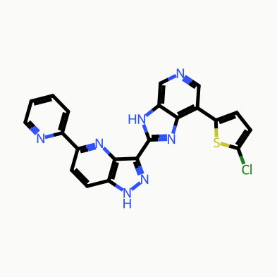 Clc1ccc(-c2cncc3[nH]c(-c4n[nH]c5ccc(-c6ccccn6)nc45)nc23)s1